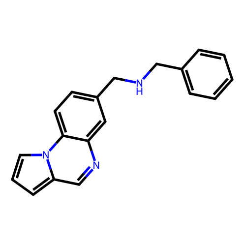 c1ccc(CNCc2ccc3c(c2)ncc2cccn23)cc1